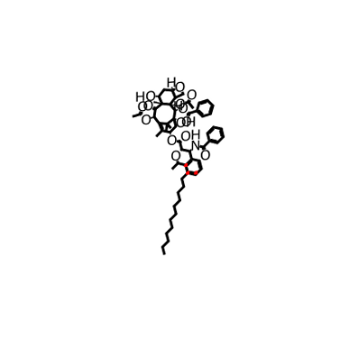 CCCCCCCCCCCCC(C)CC(C)O[C@@H](C(=O)O[C@H]1C[C@@]2(O)[C@@H](OC(=O)c3ccccc3)[C@@H]3[C@]4(OC(C)=O)CO[C@@H]4C[C@H](O)[C@@]3(C)C(=O)[C@H](OC(C)=O)C(=C1C)C2(C)C)[C@@H](NC(=O)c1ccccc1)c1ccccc1